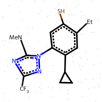 CCc1cc(C2CC2)c(-n2nc(C(F)(F)F)nc2NC)cc1S